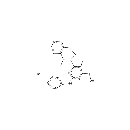 Cc1c(CO)nc(Nc2ccccc2)nc1N1CCc2ccccc2C1C.Cl